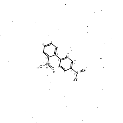 O=[N+]([O-])c1ccc(-c2cc[c]cc2[N+](=O)[O-])nc1